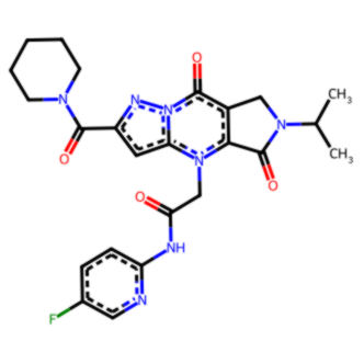 CC(C)N1Cc2c(n(CC(=O)Nc3ccc(F)cn3)c3cc(C(=O)N4CCCCC4)nn3c2=O)C1=O